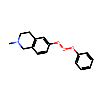 CN1CCc2cc(OOOc3ccccc3)ccc2C1